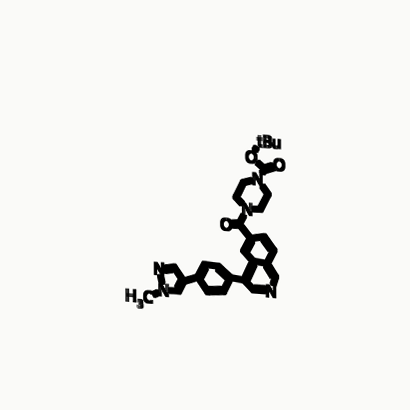 Cn1cc(-c2ccc(-c3cncc4ccc(C(=O)N5CCN(C(=O)OC(C)(C)C)CC5)cc34)cc2)cn1